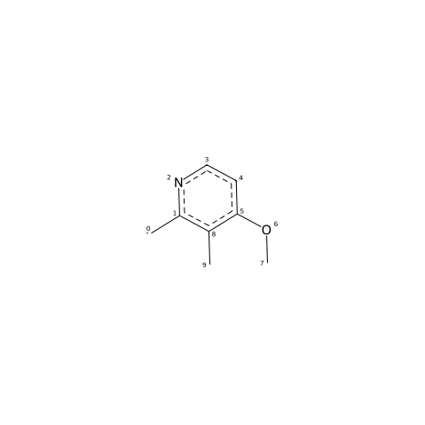 [CH2]c1nccc(OC)c1C